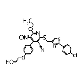 [C-]#[N+]c1c(OCC)nc(SCc2csc(-c3ccc(Cl)cc3)n2)c(C#N)c1-c1ccc(OCCO)cc1